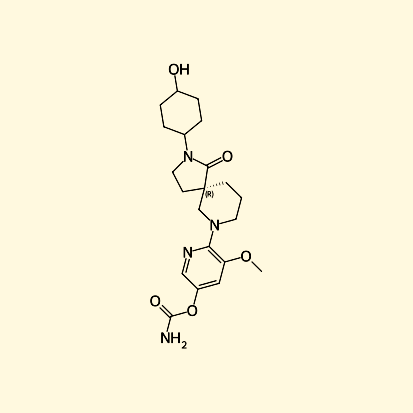 COc1cc(OC(N)=O)cnc1N1CCC[C@@]2(CCN(C3CCC(O)CC3)C2=O)C1